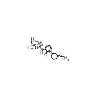 CO[C@H]1CCC[C@H](n2cccc(NC(=O)OC(C)(C)C)c2=O)C1